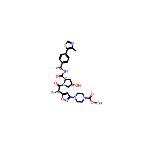 Cc1ncsc1-c1ccc([C@H](C)NC(=O)[C@H]2C[C@@H](O)CN2C(=O)[C@@H](c2cc(N3CCN(C(=O)OC(C)(C)C)CC3)no2)C(C)C)cc1